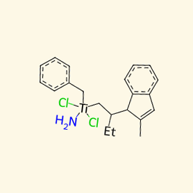 CCC([CH2][Ti]([NH2])([Cl])([Cl])[CH2]c1ccccc1)C1C(C)=Cc2ccccc21